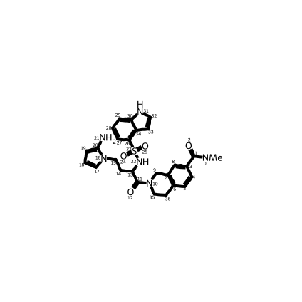 CNC(=O)c1ccc2c(c1)CN(C(=O)C(CCn1cccc1N)NS(=O)(=O)c1cccc3[nH]ccc13)CC2